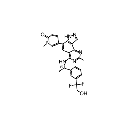 Cc1nc(N[C@H](C)c2cccc(C(F)(F)CO)c2)c2cc(-c3ccc(=O)n(C)c3)c3[nH]ncc3c2n1